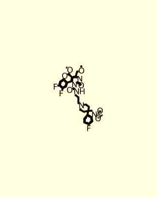 COCc1nc(=O)n(C(=O)NCCCN2CCC3(CC2)CN(S(C)(=O)=O)c2cc(F)ccc23)c(-c2ccc(F)c(F)c2)c1C(=O)OC